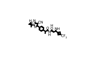 CC(C(=O)N/C(O)=C/C(=N)C12CC(C(F)(F)F)(C1)C2)c1ccc(-c2nn(C3(C)CC3)c(N)c2C#N)cc1